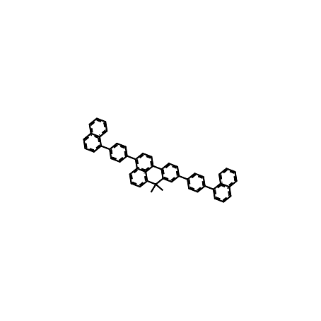 CC1(C)c2cc(-c3ccc(-c4cccc5ccccc45)cc3)ccc2-c2ccc(-c3ccc(-c4cccc5ccccc45)cc3)c3cccc1c23